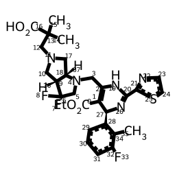 CCOC(=O)C1=C(CN2CC(F)(F)[C@@H]3CN(CC(C)(C)C(=O)O)C[C@@H]32)NC(c2nccs2)=N[C@H]1c1cccc(F)c1C